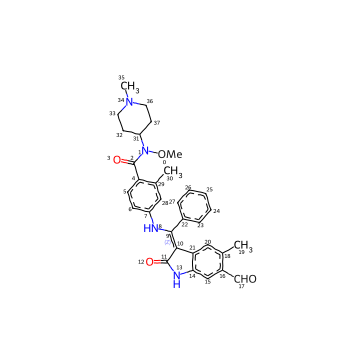 CON(C(=O)c1ccc(N/C(=C2\C(=O)Nc3cc(C=O)c(C)cc32)c2ccccc2)cc1C)C1CCN(C)CC1